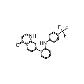 O=c1cc[nH]c2cc(-c3ccccc3Nc3ccc(C(F)(F)F)cc3)ccc12